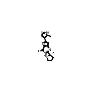 Cc1[nH]ncc1-c1cc2nc([C@@]3(C)CCCN3)[nH]c(=O)c2s1